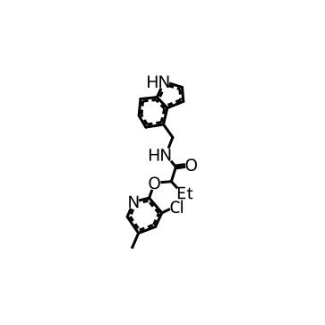 CCC(Oc1ncc(C)cc1Cl)C(=O)NCc1cccc2[nH]ccc12